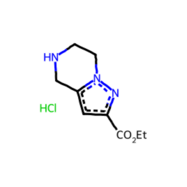 CCOC(=O)c1cc2n(n1)CCNC2.Cl